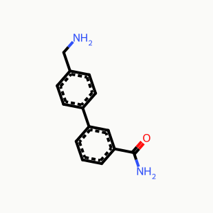 NCc1ccc(-c2cccc(C(N)=O)c2)cc1